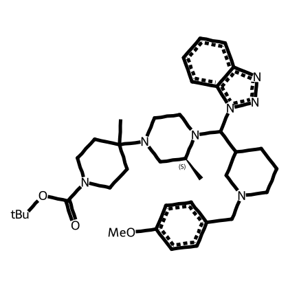 COc1ccc(CN2CCCC(C(N3CCN(C4(C)CCN(C(=O)OC(C)(C)C)CC4)C[C@@H]3C)n3nnc4ccccc43)C2)cc1